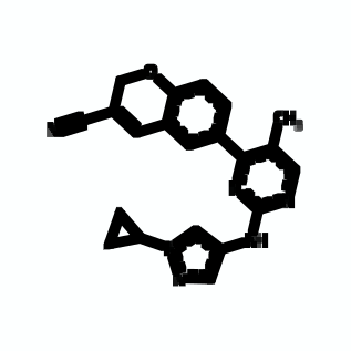 Cc1cnc(Nc2cnn(C3CC3)c2)nc1-c1ccc2c(c1)C=C(C#N)CO2